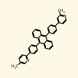 Cc1ccc(-c2ccc(-c3c4ccccc4c(-c4ccc(-c5ccnc(C)c5)cc4)c4ccccc34)cc2)nc1